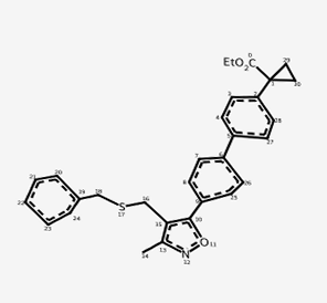 CCOC(=O)C1(c2ccc(-c3ccc(-c4onc(C)c4CSCc4ccccc4)cc3)cc2)CC1